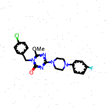 COc1nc(N2CCN(c3ccc(F)cc3)CC2)nc(=O)n1Cc1ccc(Cl)cc1